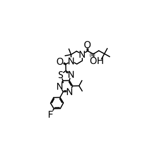 CC(C)c1nc(-c2ccc(F)cc2)nc2sc(C(=O)N3CCN(C(=O)[C@H](O)CC(C)(C)C)CC3(C)C)nc12